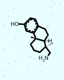 C[C@]1(CN)CCC[C@]2(C)c3cc(O)ccc3CC[C@@H]12